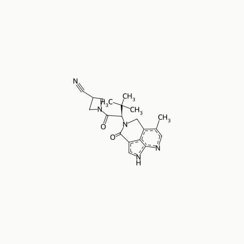 Cc1cnc2[nH]cc3c2c1CN([C@@H](C(=O)N1CC(C#N)C1)C(C)(C)C)C3=O